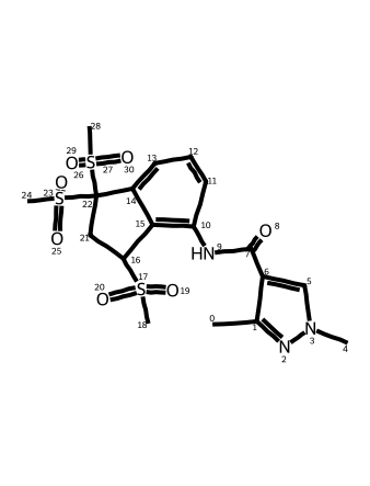 Cc1nn(C)cc1C(=O)Nc1cccc2c1C(S(C)(=O)=O)CC2(S(C)(=O)=O)S(C)(=O)=O